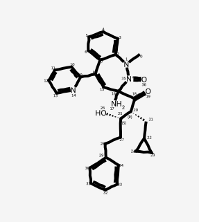 CN1c2ccccc2C(c2ccccn2)=CC(N)(C(=O)[C@H](CC2CC2)[C@@H](O)CCc2ccccc2)[N+]1=O